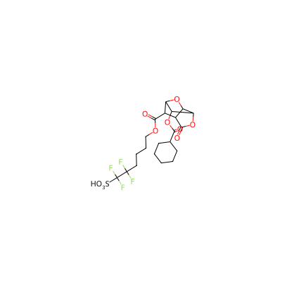 O=C(OC1C2OC(=O)C3C2OC1C3C(=O)OCCCCC(F)(F)C(F)(F)S(=O)(=O)O)C1CCCCC1